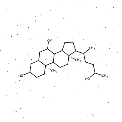 CC(O)CCC(C)C1CCC2C3C(O)CC4CC(O)CC[C@]4(C)C3CC[C@]12C